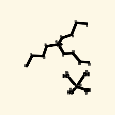 CCC[CH2][Sn]([CH2]CCC)[CH2]CCC.O[Si](O)(O)O